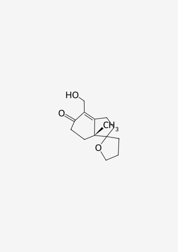 C[C@@]12CCC(=O)C(CO)=C1CCC21CCCO1